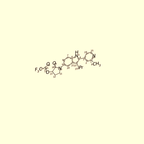 Cc1cc(-c2[nH]c3ccc(N4CCC(OS(=O)C(F)(F)F)C4=O)cc3c2C(C)C)ccn1